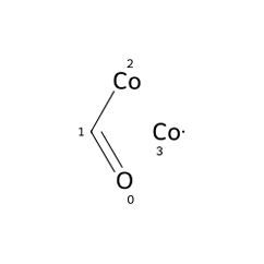 O=[CH][Co].[Co]